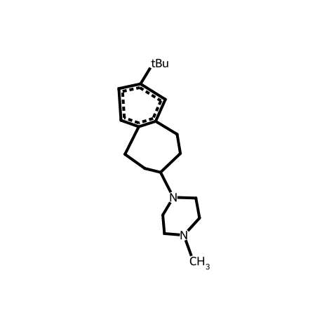 CN1CCN(C2CCc3ccc(C(C)(C)C)cc3CC2)CC1